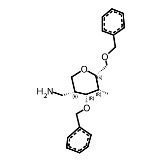 C[C@@H]1[C@H](OCc2ccccc2)[C@H](CN)CO[C@@H]1COCc1ccccc1